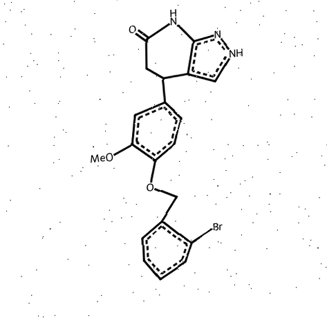 COc1cc(C2CC(=O)Nc3n[nH]cc32)ccc1OCc1ccccc1Br